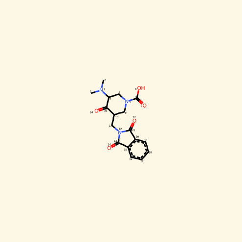 CN(C)C1CN(C(=O)O)CC(CN2C(=O)c3ccccc3C2=O)C1=O